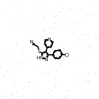 N#CCSc1[nH]nc(-c2ccc(Cl)cc2)c1-c1ccncc1